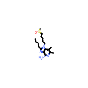 CCCCc1nc2c(N)nc(C)c(C)c2n1CCCCC[S+](C)[O-]